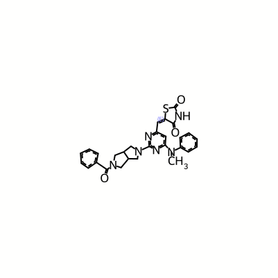 CN(c1ccccc1)c1cc(/C=C2/SC(=O)NC2=O)nc(N2CC3CN(C(=O)c4ccccc4)CC3C2)n1